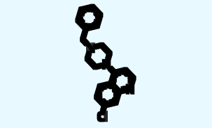 Clc1ccc2c(N3CCN(Cc4ccccc4)CC3)ccnc2c1